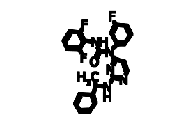 CC(Nc1nccc(N(C(=O)Nc2c(F)cccc2F)c2cccc(F)c2)n1)c1ccccc1